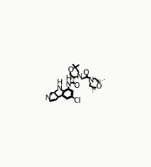 C[C@@H]1CN(C(=O)CN2CC(C)(C)OC[C@H]2C(=O)Nc2cc(Cl)cc3c2NC2C=NC=CC32)C[C@H](C)O1